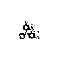 CC(C)(C)c1ccc2c(c1)S(C)(C)c1cc(C(C)(C)C)ccc1N2c1ccncc1